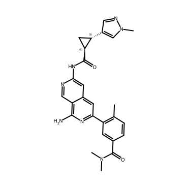 Cc1ccc(C(=O)N(C)C)cc1-c1cc2cc(NC(=O)[C@H]3C[C@@H]3c3cnn(C)c3)ncc2c(N)n1